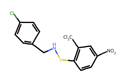 O=[N+]([O-])c1ccc(SNCc2ccc(Cl)cc2)c(C(Cl)(Cl)Cl)c1